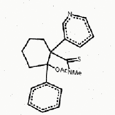 CNC(=S)C1(c2cccnc2)CCCCC1(OC(C)=O)c1ccccc1